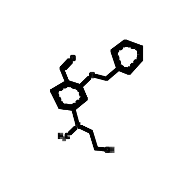 CN(CCO)c1ccc(C=O)c(OCc2ccccc2)c1